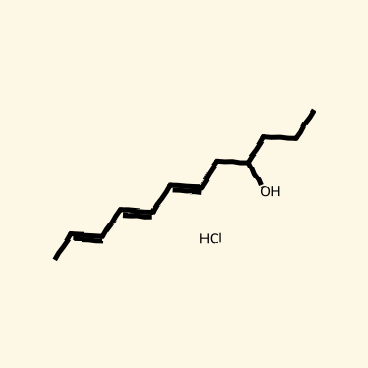 CC=CC=CC=CCC(O)CCC.Cl